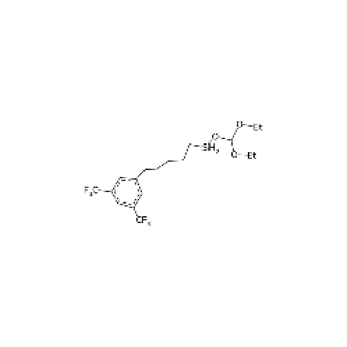 CCOC(OCC)O[SiH2]CCCCCc1cc(C(F)(F)F)cc(C(F)(F)F)c1